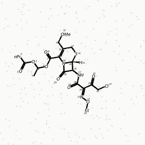 CCCC(=O)OC(C)OC(=O)C1=C(COC)CS[C@@H]2C(NC(=O)/C(=N/OCC)C(=O)CCl)C(=O)N12